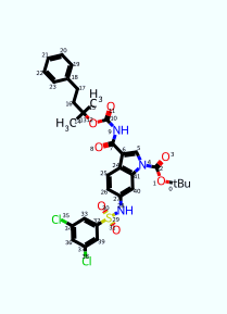 CC(C)(C)OC(=O)n1cc(C(=O)NC(=O)OC(C)(C)CCc2ccccc2)c2ccc(NS(=O)(=O)c3cc(Cl)cc(Cl)c3)cc21